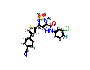 CN1C(C(=O)Nc2ccc(F)c(Cl)c2)=CC(c2cc(-c3ccc(C#N)c(F)c3)cs2)=NS1(=O)=O